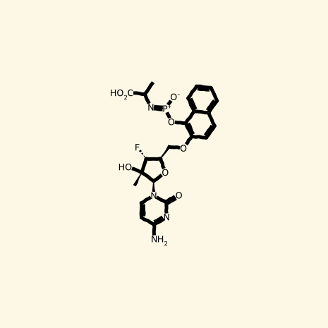 CC(/N=[P+](\[O-])Oc1c(OC[C@H]2O[C@@H](n3ccc(N)nc3=O)[C@](C)(O)[C@@H]2F)ccc2ccccc12)C(=O)O